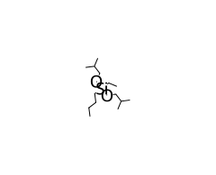 CCCC[Si](CC)(OCC(C)C)OCC(C)C